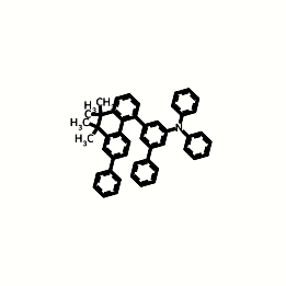 CC1(C)c2cc(-c3ccccc3)ccc2-c2c(-c3cc(-c4ccccc4)cc(N(c4ccccc4)c4ccccc4)c3)cccc2C1(C)C